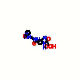 CN1Cc2cc(C(=O)NCCNc3cccc[n+]3[O-])ccc2N[C@@H](CC(=O)O)C1=O